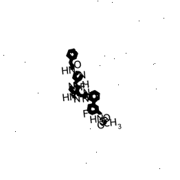 CS(=O)(=O)NCc1cc(F)cc(-c2cccc3[nH]c(-c4n[nH]c5cnc(-c6cncc(NC(=O)Cc7ccccc7)c6)c(F)c45)nc23)c1